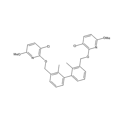 COc1ccc(Cl)c(OCc2cccc(-c3cccc(COc4nc(OC)ccc4Cl)c3C)c2C)n1